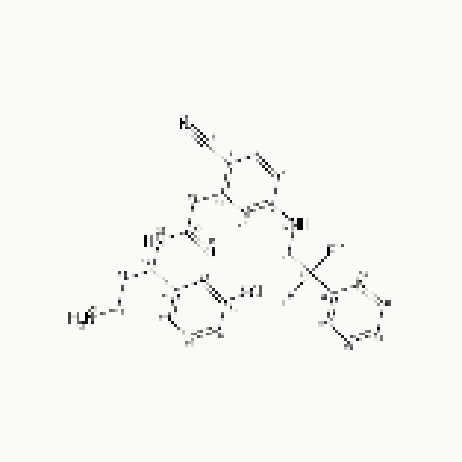 N#Cc1ccc(NCC(F)(F)c2ccccn2)nc1CC(=O)NC(CCN)c1cccc(Cl)c1